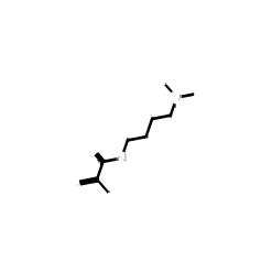 C=C(C)C(=O)NCCCCN(C)C.Cl